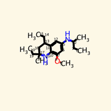 CCC(C)Nc1cc(OC)c2c(c1)C(CC)CC(C)(CC)N2